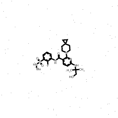 CC(C)(C)NS(=O)(=O)c1cccc(NC(=O)c2ccc(NC(C)(C)CO)nc2N2CCC3(CC2)CC3)c1F